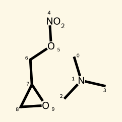 CN(C)C.O=[N+]([O-])OCC1CO1